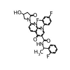 CC(NC(=O)c1cn(-c2ccc(F)cc2F)c2nc(N3CC(O)CC3=O)ccc2c1=O)c1ccccc1F